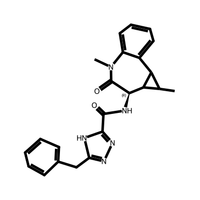 CC1C2c3ccccc3N(C)C(=O)[C@H](NC(=O)c3nnc(Cc4ccccc4)[nH]3)C12